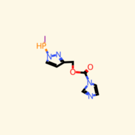 O=C(OCc1ccn(PI)n1)n1ccnc1